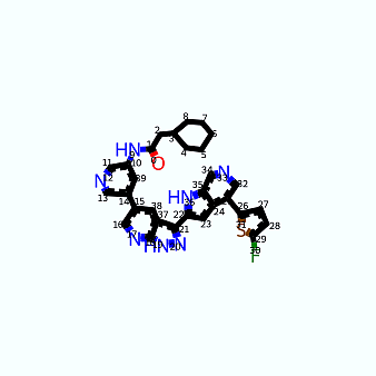 O=C(CC1CCCCC1)Nc1cncc(-c2cnc3[nH]nc(-c4cc5c(-c6ccc(F)s6)cncc5[nH]4)c3c2)c1